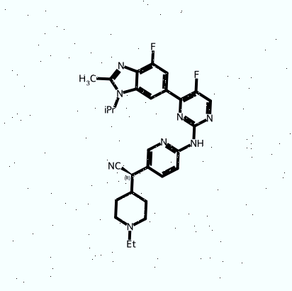 CCN1CCC([C@@H](C#N)c2ccc(Nc3ncc(F)c(-c4cc(F)c5nc(C)n(C(C)C)c5c4)n3)nc2)CC1